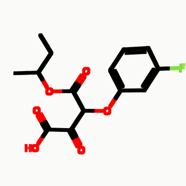 CCC(C)OC(=O)C(Oc1cccc(F)c1)C(=O)C(=O)O